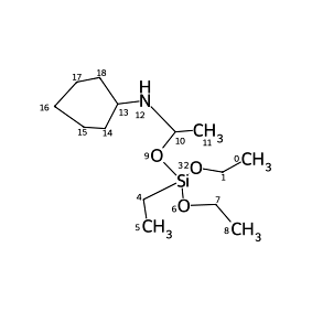 CCO[Si](CC)(OCC)OC(C)NC1CCCCC1